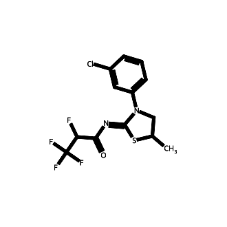 CC1CN(c2cccc(Cl)c2)C(=NC(=O)C(F)C(F)(F)F)S1